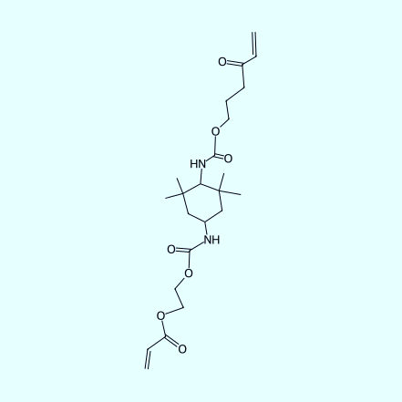 C=CC(=O)CCCOC(=O)NC1C(C)(C)CC(NC(=O)OCCOC(=O)C=C)CC1(C)C